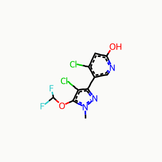 Cn1nc(-c2cnc(O)cc2Cl)c(Cl)c1OC(F)F